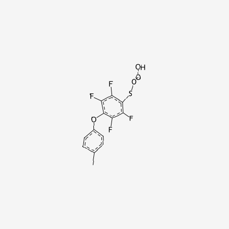 Cc1ccc(Oc2c(F)c(F)c(SOOO)c(F)c2F)cc1